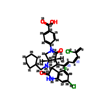 C=C(Cl)/C=C\C=C(/F)[C@@H]1[C@H]2C(=O)N(c3ccc(C(=O)O)cc3)C[C@H]2N(CC2CCCCC2)[C@]12C(=O)Nc1cc(Cl)ccc12